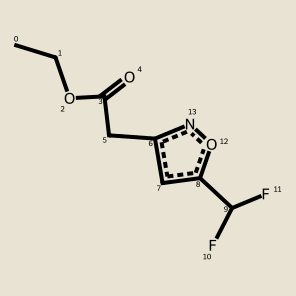 CCOC(=O)Cc1cc(C(F)F)on1